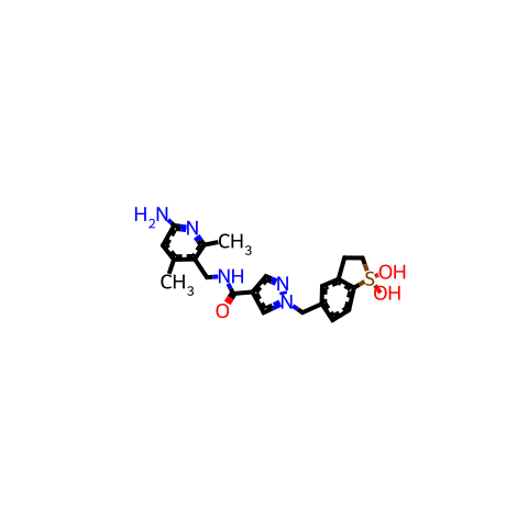 Cc1cc(N)nc(C)c1CNC(=O)c1cnn(Cc2ccc3c(c2)CCS3(O)O)c1